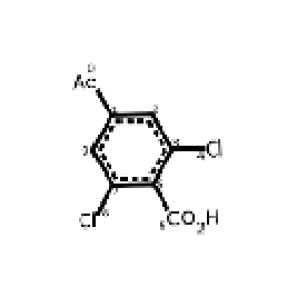 CC(=O)c1cc(Cl)c(C(=O)O)c(Cl)c1